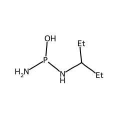 CCC(CC)NP(N)O